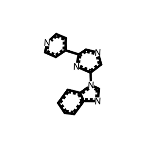 c1ccc2c(c1)ncn2-c1cncc(-c2ccncc2)n1